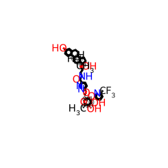 C[C@H]1O[C@H](COc2ccc(C(=O)NCCC[C@]3(O)CC[C@H]4[C@@H]5CCc6cc(O)ccc6[C@H]5CC[C@@]43C)nn2)[C@H](Oc2cccc(C(F)(F)F)n2)[C@@H](O)[C@H]1O